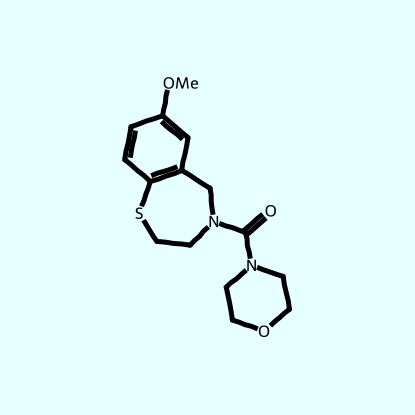 COc1ccc2c(c1)CN(C(=O)N1CCOCC1)CCS2